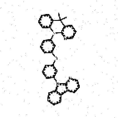 CC1(C)c2ccccc2N(c2cccc(Oc3cccc(-n4c5ccccc5c5cccnc54)c3)c2)c2ncccc21